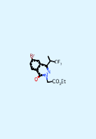 CCOC(=O)Cn1nc(C(C)C(F)(F)F)c2cc(Br)ccc2c1=O